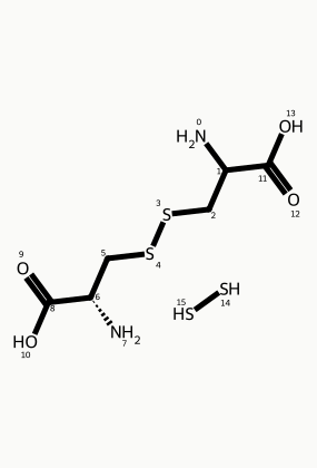 NC(CSSC[C@H](N)C(=O)O)C(=O)O.SS